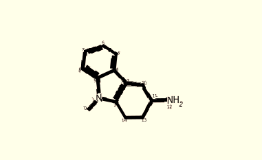 Cn1c2c(c3ccccc31)CC(N)CC2